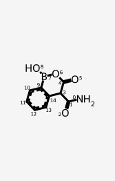 NC(=O)C1C(=O)OB(O)c2ccccc21